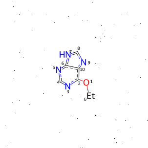 CCOc1ncnc2[nH]cnc12